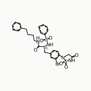 O=C1CN(c2ccc(C[C@H](NS(=O)(=O)c3ccccc3)C(=O)NCCCCc3ccccc3)cc2Br)S(=O)(=O)N1